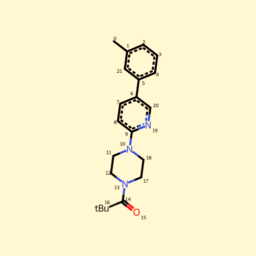 Cc1cccc(-c2ccc(N3CCN(C(=O)C(C)(C)C)CC3)nc2)c1